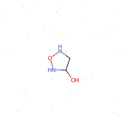 OC1CNON1